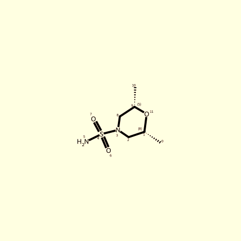 C[C@@H]1CN(S(N)(=O)=O)C[C@H](C)O1